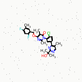 Cc1cc(COc2nc(C)n(-c3cc(-c4nc(C(C)(C)O)ncc4C)ccc3Cl)c(=O)c2C)c(F)cc1F